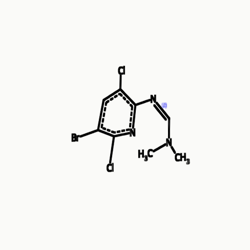 CN(C)/C=N\c1nc(Cl)c(Br)cc1Cl